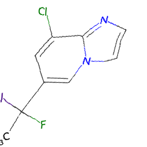 CC(F)(I)c1cc(Cl)c2nccn2c1